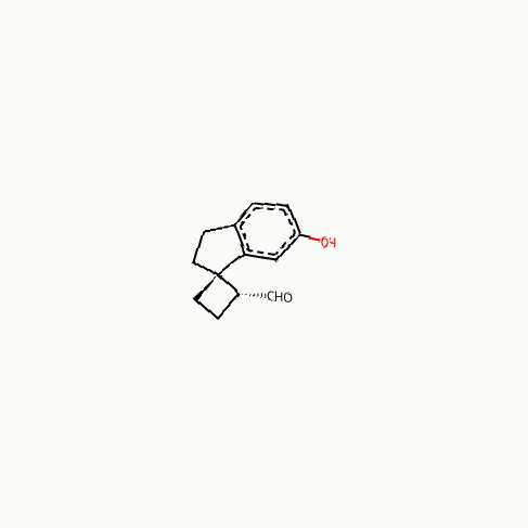 O=C[C@@H]1CC[C@]12CCc1ccc(O)cc12